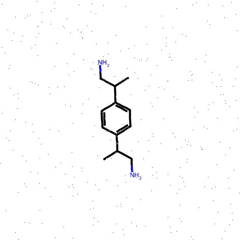 CC(CN)c1ccc(C(C)CN)cc1